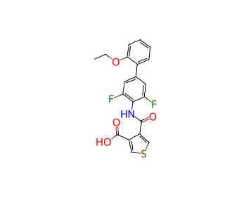 CCOc1ccccc1-c1cc(F)c(NC(=O)c2cscc2C(=O)O)c(F)c1